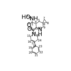 O=C(NO)C1CC2(CC2)CNC1C(=O)N1CC=C(c2ccccc2)CC1